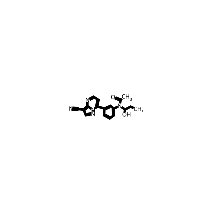 CCC(O)N(C(C)=O)c1cccc(-c2ccnc3c(C#N)cnn23)c1